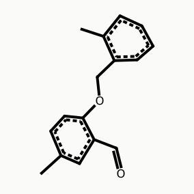 Cc1ccc(OCc2ccccc2C)c(C=O)c1